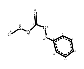 O=C(OSCl)OSc1ccccc1